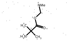 CNCOC(=O)C(C)(C)N